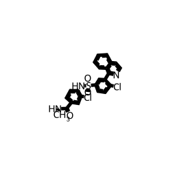 CNC(=O)c1ccc(NS(=O)(=O)c2ccc(Cl)c(-c3nccc4ccccc34)c2)c(Cl)c1